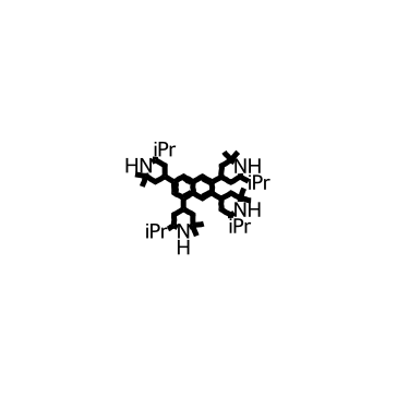 CC(C)C1CC(c2cc(C3CC(C(C)C)NC(C)(C)C3)c3cc(C4CC(C(C)C)NC(C)(C)C4)c(C4CC(C(C)C)NC(C)(C)C4)cc3c2)CC(C)(C)N1